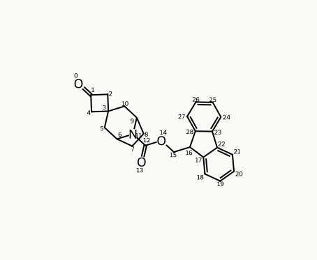 O=C1CC2(C1)CC1CCC(C2)N1C(=O)OCC1c2ccccc2-c2ccccc21